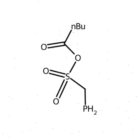 CCCCC(=O)OS(=O)(=O)CP